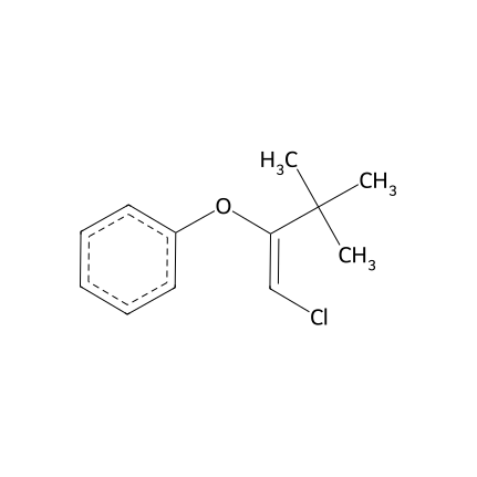 CC(C)(C)C(=CCl)Oc1ccccc1